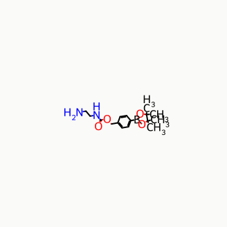 CC1(C)OB(c2ccc(COC(=O)NCCN)cc2)OC1(C)C